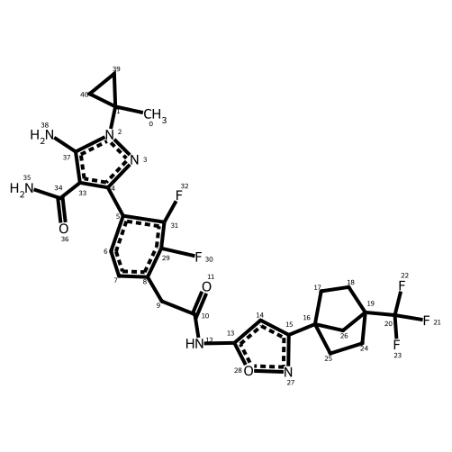 CC1(n2nc(-c3ccc(CC(=O)Nc4cc(C56CCC(C(F)(F)F)(CC5)C6)no4)c(F)c3F)c(C(N)=O)c2N)CC1